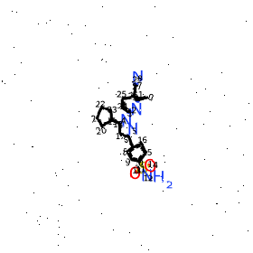 Cc1nc(N2N=C(c3ccc(S(N)(=O)=O)cc3)CC2C2CCCC2)ccc1C#N